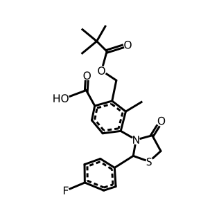 Cc1c(N2C(=O)CSC2c2ccc(F)cc2)ccc(C(=O)O)c1COC(=O)C(C)(C)C